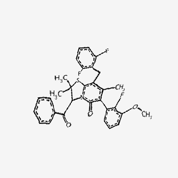 COc1cccc(-c2c(C)c(Cc3c(F)cccc3F)c3n(c2=O)C(C(=O)c2ccccc2)C(C)(C)S3)c1F